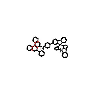 c1ccc(-c2cccc(-c3ccccc3N(c3ccc(-c4ccc5c(c4)C4(c6ccccc6-5)c5ccccc5-n5c6ccccc6c6cccc4c65)cc3)c3cccc(-c4ccccc4)c3)c2)cc1